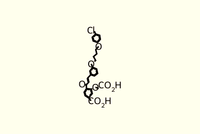 O=C(O)COc1cc(C(=O)O)ccc1C(=O)/C=C/c1cccc(OCCCCOc2ccc(Cl)cc2)c1